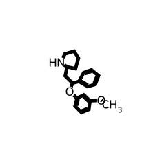 COc1cccc(OC(CC2CCCCN2)c2ccccc2)c1